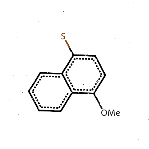 COc1ccc([S])c2ccccc12